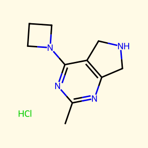 Cc1nc2c(c(N3CCC3)n1)CNC2.Cl